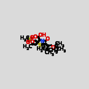 C=CCC1(COS(C)(=O)=O)S[C@@H]2[C@@H]([C@@H](CO[SiH](C)C)C(C)(C)C)C(=O)N2C1C(=O)O